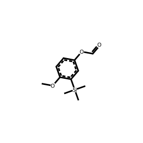 COc1ccc(OC=O)cc1[Si](C)(C)C